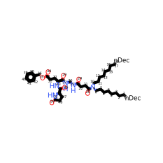 CCCCCCCCCCCCCCCCCCN(CCCCCCCCCCCCCCCCCC)C(=O)CCC(=O)NCNC(=O)C(CCC(=O)OCc1ccccc1)NC(=O)C1CCC(=O)N1